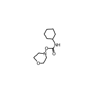 O=C(NC1CCCCC1)ON1CCOCC1